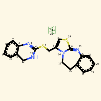 C1=C(CSC2=Nc3ccccc3CN2)N2CCc3ccccc3N=C2S1.Cl.Cl